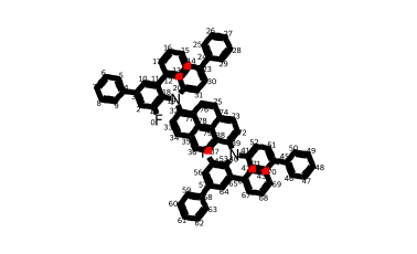 Fc1cc(-c2ccccc2)cc(-c2ccccc2)c1N(c1ccc(-c2ccccc2)cc1)c1ccc2ccc3c(N(c4ccc(-c5ccccc5)cc4)c4c(F)cc(-c5ccccc5)cc4-c4ccccc4)ccc4ccc1c2c43